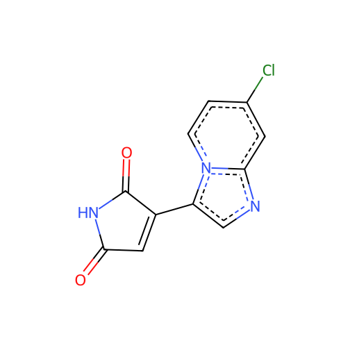 O=C1C=C(c2cnc3cc(Cl)ccn23)C(=O)N1